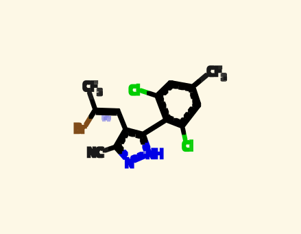 N#Cc1n[nH]c(-c2c(Cl)cc(C(F)(F)F)cc2Cl)c1/C=C(\Br)C(F)(F)F